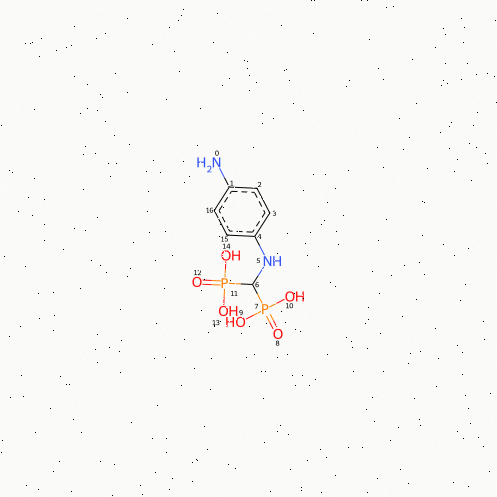 Nc1ccc(NC(P(=O)(O)O)P(=O)(O)O)cc1